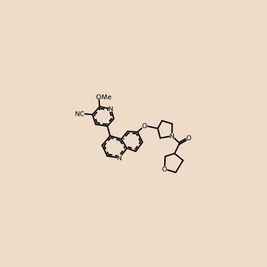 COc1ncc(-c2ccnc3ccc(OC4CCN(C(=O)C5CCOC5)C4)cc23)cc1C#N